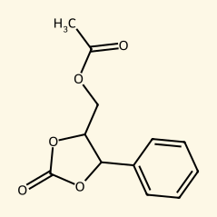 CC(=O)OCC1OC(=O)OC1c1ccccc1